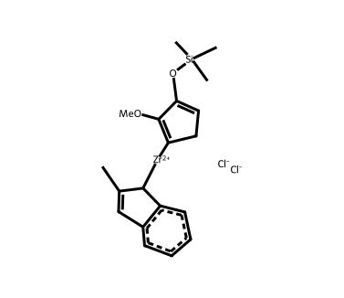 COC1=[C]([Zr+2][CH]2C(C)=Cc3ccccc32)CC=C1O[Si](C)(C)C.[Cl-].[Cl-]